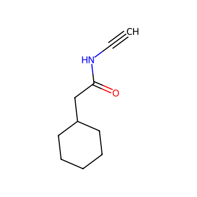 C#CNC(=O)CC1CCCCC1